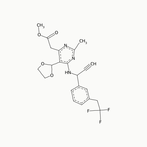 C#CC(Nc1nc(C)nc(CC(=O)OC)c1C1OCCO1)c1cccc(CC(F)(F)F)c1